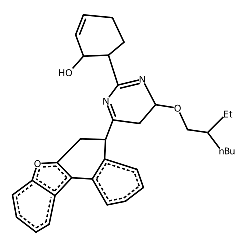 CCCCC(CC)COC1CC(C2Cc3oc4ccccc4c3-c3ccccc32)=NC(C2CCC=CC2O)=N1